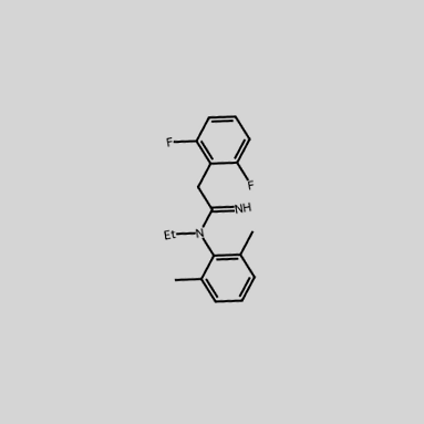 CCN(C(=N)Cc1c(F)cccc1F)c1c(C)cccc1C